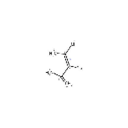 C=C(N)/C(F)=C(\C)Cl